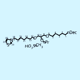 CCCCCCCCCCCCCCCCOCC(COCCCCCCC[n+]1ccsc1)OCCC.CS(=O)(=O)O